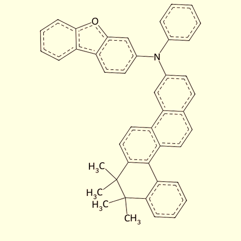 CC1(C)c2ccccc2-c2c(ccc3c2ccc2ccc(N(c4ccccc4)c4ccc5c(c4)oc4ccccc45)cc23)C1(C)C